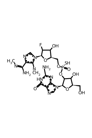 C=Nc1c(/C(N)=N\C)ncn1[C@@H]1O[C@H](CO[P@@](=O)(S)OC2C(O)[C@@H](CO)O[C@H]2n2cnc3c(=O)[nH]c(N)nc32)C(O)C1F